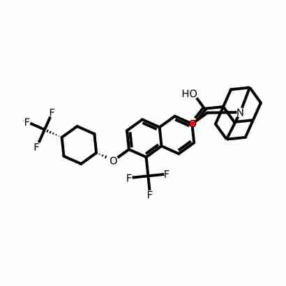 O=C(O)C12CC3CC(C1)N(Cc1ccc4c(C(F)(F)F)c(O[C@H]5CC[C@@H](C(F)(F)F)CC5)ccc4c1)C(C3)C2